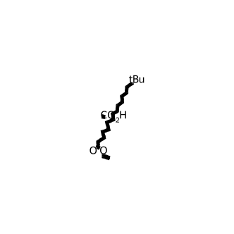 C=COC(=O)CCCCCCCCCCCCCCC(C)(C)C.CC(=O)O